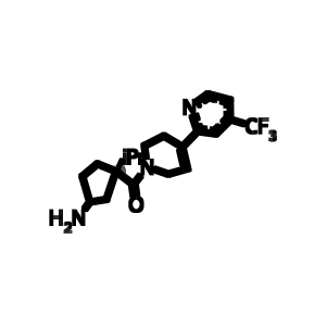 CC(C)[C@]1(C(=O)N2CC=C(c3cc(C(F)(F)F)ccn3)CC2)CCC(N)C1